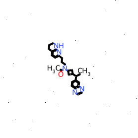 CCC(c1ccc2nccnc2c1)C1CC(N(CCCc2ccc3c(n2)NCCC3)C(C)=O)C1